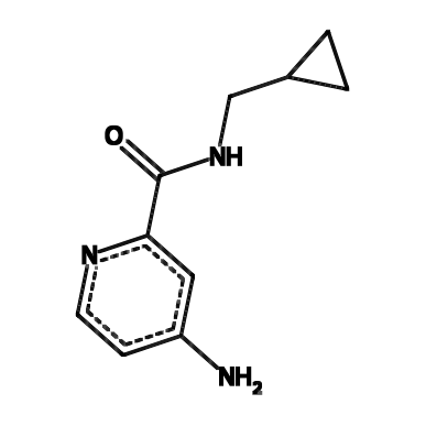 Nc1ccnc(C(=O)NCC2CC2)c1